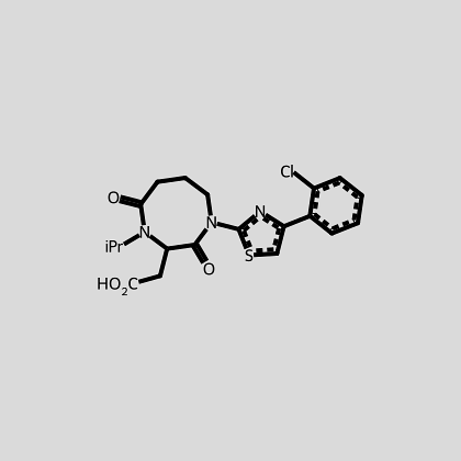 CC(C)N1C(=O)CCCN(c2nc(-c3ccccc3Cl)cs2)C(=O)C1CC(=O)O